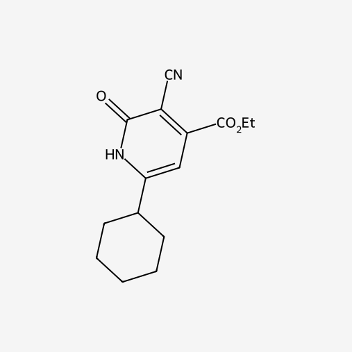 CCOC(=O)c1cc(C2CCCCC2)[nH]c(=O)c1C#N